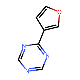 c1ncnc(-c2ccoc2)n1